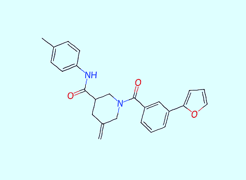 C=C1CC(C(=O)Nc2ccc(C)cc2)CN(C(=O)c2cccc(-c3ccco3)c2)C1